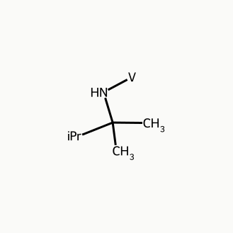 CC(C)C(C)(C)[NH][V]